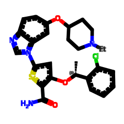 CCN1CCC(Oc2ccc3ncn(-c4cc(O[C@H](C)c5ccccc5Cl)c(C(N)=O)s4)c3c2)CC1